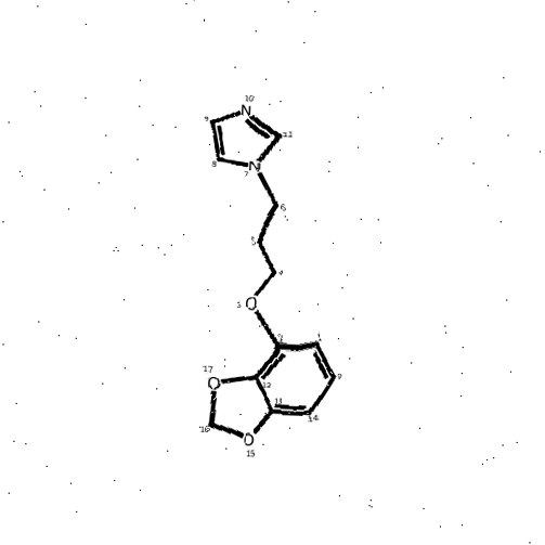 c1cc(OCCCn2ccnc2)c2c(c1)OCO2